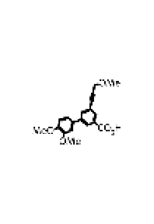 COCC#Cc1cc(C(=O)O)cc(-c2ccc(OC)c(OC)c2)c1